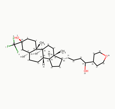 C[C@]12CC[C@@](O)(C(F)(F)F)C[C@@H]1CC[C@@H]1[C@@H]2CC[C@]2(C)[C@H](CCCC(O)C3CCOCC3)CC[C@@H]12